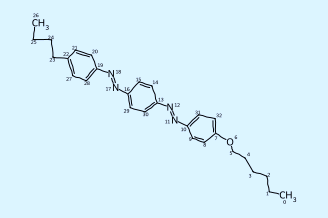 CCCCCCOc1ccc(N=Nc2ccc(N=Nc3ccc(CCCC)cc3)cc2)cc1